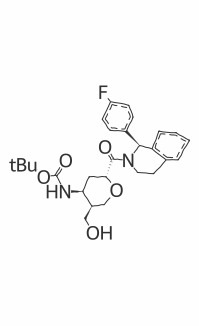 CC(C)(C)OC(=O)N[C@H]1C[C@H](C(=O)N2CCc3ccccc3[C@@H]2c2ccc(F)cc2)OC[C@H]1CO